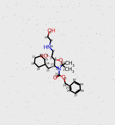 CC1(C)O[C@H]([C@H](O)CNCCO)[C@H](CC2CCCCC2)N1C(=O)OCc1ccccc1